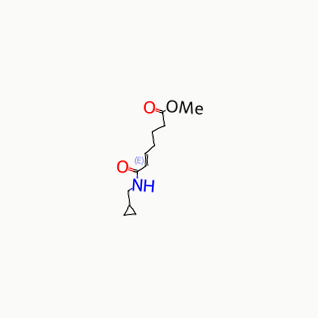 COC(=O)CCC/C=C/C(=O)NCC1CC1